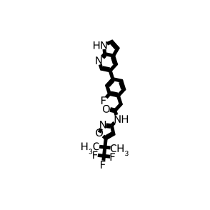 CC(C)(c1cc(NC(=O)Cc2ccc(-c3cnc4[nH]ccc4c3)cc2F)no1)C(F)(F)F